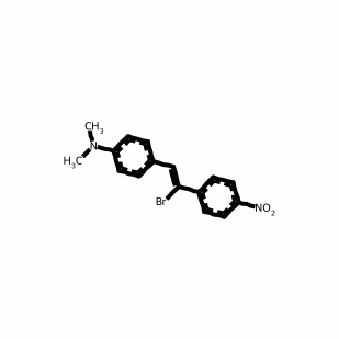 CN(C)c1ccc(C=C(Br)c2ccc([N+](=O)[O-])cc2)cc1